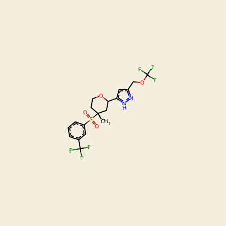 CC1(S(=O)(=O)c2cccc(C(F)(F)F)c2)CCOC(c2cc(COC(F)(F)F)n[nH]2)C1